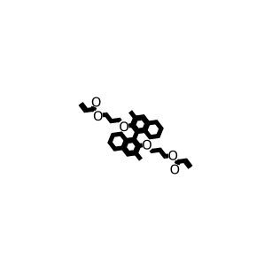 C=CC(=O)OCCCOc1c(C)cc2c(c1-c1c3c(cc(C)c1OCCCOC(=O)C=C)CCCC3)CCCC2